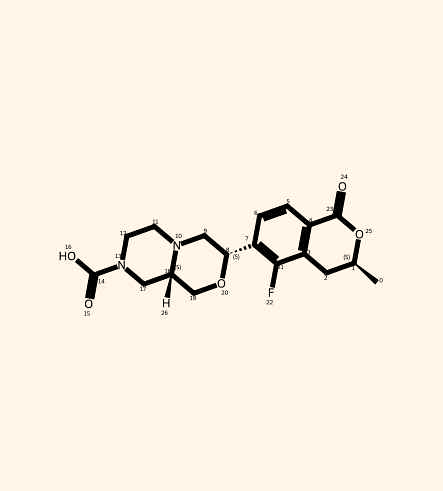 C[C@H]1Cc2c(ccc([C@H]3CN4CCN(C(=O)O)C[C@H]4CO3)c2F)C(=O)O1